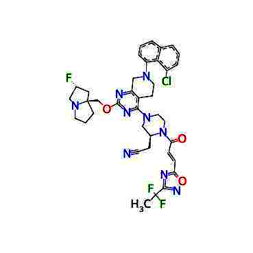 CC(F)(F)c1noc(/C=C/C(=O)N2CCN(c3nc(OC[C@@]45CCCN4C[C@H](F)C5)nc4c3CCN(c3cccc5cccc(Cl)c35)C4)C[C@@H]2CC#N)n1